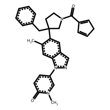 Cc1cc2c(cnn2-c2ccc(=O)n(C)c2)cc1C1(Cc2ccccc2)CCN(C(=O)C2=CCC=C2)C1